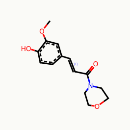 COc1cc(/C=C/C(=O)N2CCOCC2)ccc1O